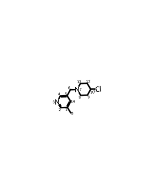 Cc1cncc(CN2CCC(Cl)CC2)c1